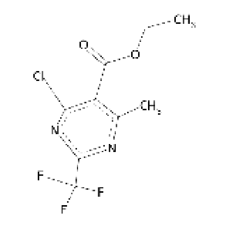 CCOC(=O)c1c(C)nc(C(F)(F)F)nc1Cl